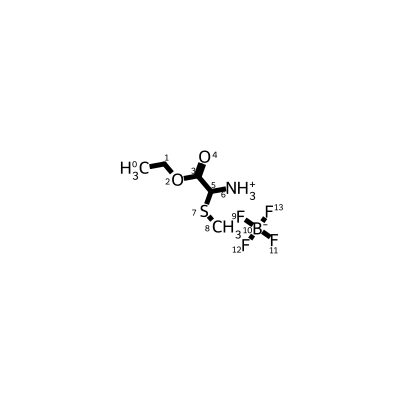 CCOC(=O)C([NH3+])SC.F[B-](F)(F)F